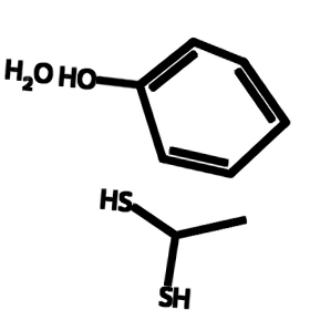 CC(S)S.O.Oc1ccccc1